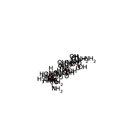 C[C@H](NC(=O)[C@H](CO)NC(=O)[C@@H]1CCCN1C(=O)[C@H](Cc1c[nH]c2ccccc12)NC(=O)[C@H](CCC(=O)O)NC(=O)[C@H](Cc1ccc(O)cc1)NC(=O)[C@H](CC(=O)O)NC(=O)[C@@H]1CCCN1C(=O)[C@H](CC(=O)O)NC(=O)[C@H](CCC(=O)O)NC(=O)[C@@H](N)CCCCN)C(=O)N[C@@H](CCCCN)C(N)=O